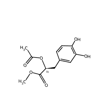 COC(=O)[C@H](Cc1ccc(O)c(O)c1)OC(C)=O